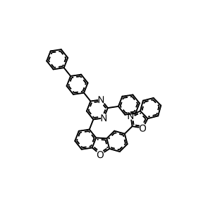 c1ccc(-c2ccc(-c3cc(-c4cccc5oc6ccc(-c7nc8ccccc8o7)cc6c45)nc(-c4ccccc4)n3)cc2)cc1